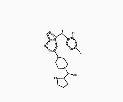 CC(c1ccc(Cl)cc1Cl)n1ncc2ncc(N3CCN(C(O)C4CCCN4)CC3)nc21